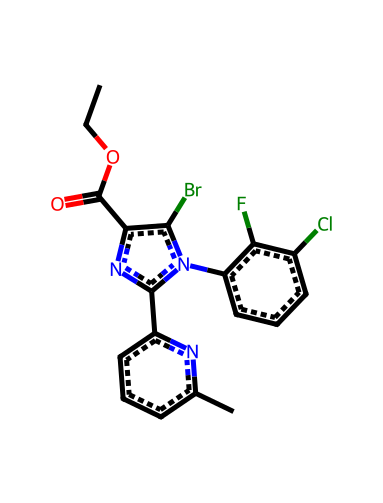 CCOC(=O)c1nc(-c2cccc(C)n2)n(-c2cccc(Cl)c2F)c1Br